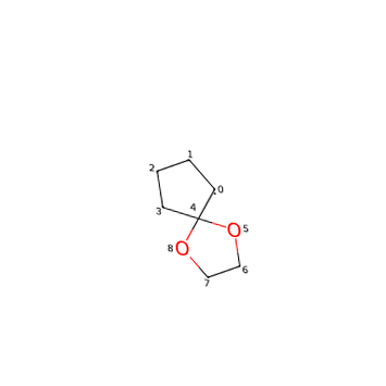 [CH]1CCCC12OCCO2